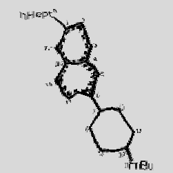 CCCCCCCc1ccc2cc(C3CCC(CCCC)CC3)ccc2c1